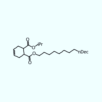 CCCCCCCCCCCCCCCCCCOC(=O)C1CC=CCC1C(=O)OC(C)C